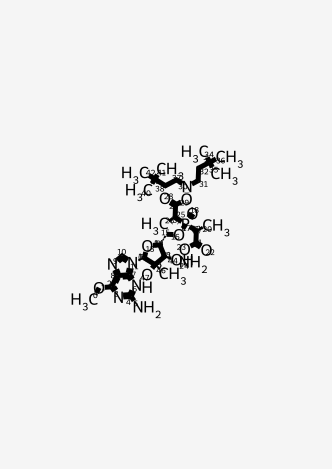 COc1nc(N)nc2c1ncn2[C@@H]1O[C@H](COP(=O)([C@@H](C)C(=O)ON)[C@@H](C)C(=O)ON(CCC(C)(C)C)CCC(C)(C)C)[C@@H](O)[C@@]1(C)O